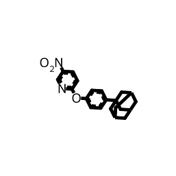 O=[N+]([O-])c1ccc(Oc2ccc(C34CC5CC(CC(C5)C3)C4)cc2)nc1